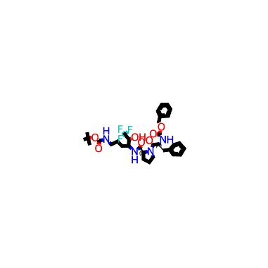 CC(C)(C)OC(=O)NCCCC(NC(=O)[C@@H]1CCCN1C(=O)[C@@H](Cc1ccccc1)NC(=O)OCc1ccccc1)C(O)C(F)(F)F